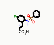 O=C(O)/C=C/c1cc(F)ccc1NS(=O)(=O)c1ccccc1